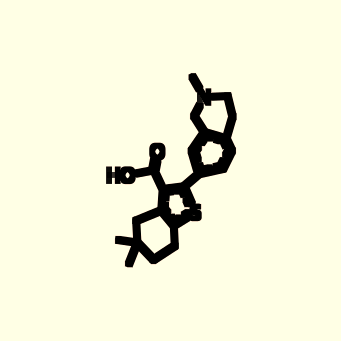 CN1CCc2ccc(-c3sc4c(c3C(=O)O)CC(C)(C)CC4)cc2C1